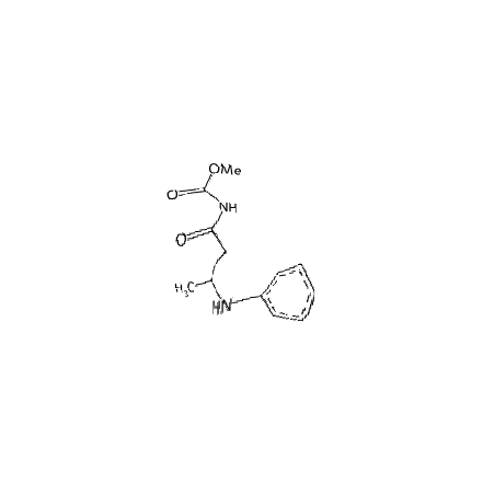 COC(=O)NC(=O)CC(C)Nc1ccccc1